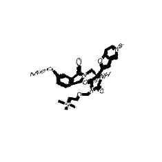 COc1ccc2c(c1)C(=O)N(C[C@@]1(c3cc4c[n+]([O-])ccc4o3)NC(=O)N(COCC[Si](C)(C)C)C1=O)C2